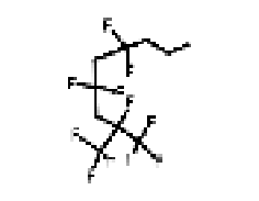 CCCC(F)(F)CC(F)(F)CC(F)(C(F)(F)F)C(F)(F)F